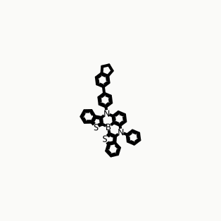 c1ccc(N2c3cccc4c3B(c3sc5ccccc5c32)c2sc3ccccc3c2N4c2ccc(-c3ccc4c(c3)CCC4)cc2)cc1